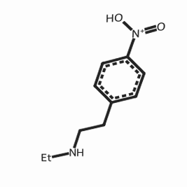 CCNCCc1ccc([N+](=O)O)cc1